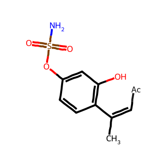 CC(=O)/C=C(/C)c1ccc(OS(N)(=O)=O)cc1O